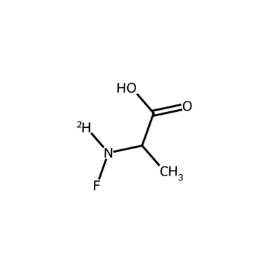 [2H]N(F)C(C)C(=O)O